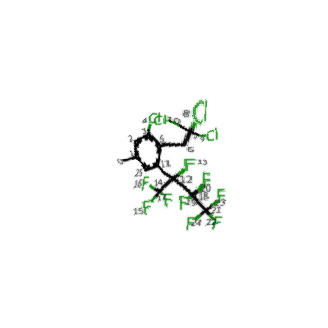 Cc1[c]c(Cl)c(CC(Cl)(Cl)Cl)c(C(F)(C(F)(F)F)C(F)(F)C(F)(F)F)c1